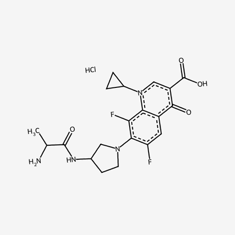 CC(N)C(=O)NC1CCN(c2c(F)cc3c(=O)c(C(=O)O)cn(C4CC4)c3c2F)C1.Cl